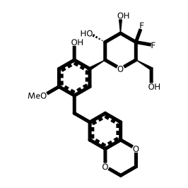 COc1cc(O)c([C@@H]2O[C@H](CO)C(F)(F)[C@H](O)[C@H]2O)cc1Cc1ccc2c(c1)OCCO2